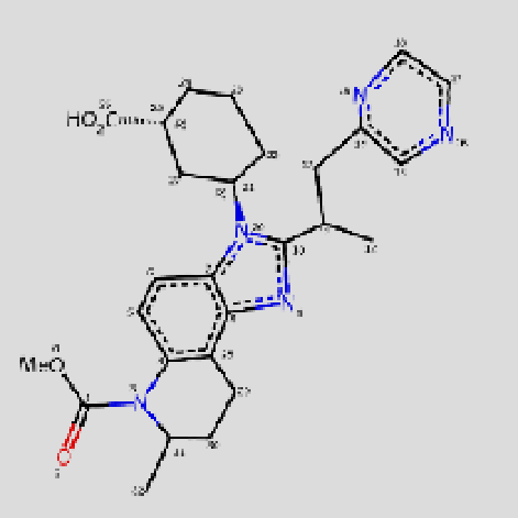 COC(=O)N1c2ccc3c(nc(C(C)Cc4cnccn4)n3[C@@H]3CCC[C@@H](C(=O)O)C3)c2CCC1C